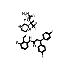 CC(OC(N)=O)([C@H]1O[C@H](CCc2c(F)cccc2NC(=O)CC(c2ccc(F)cc2)c2ccc(F)cc2)CN[C@@H]1CO)C(F)(F)F